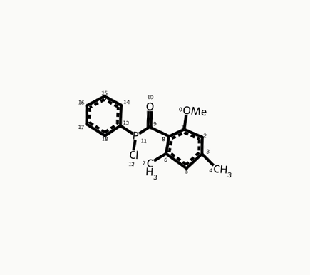 COc1cc(C)cc(C)c1C(=O)P(Cl)c1ccccc1